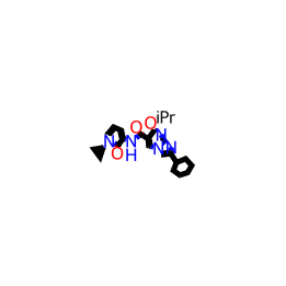 CC(C)Oc1nc2nc(C3CCCCC3)cn2cc1C(=O)Nc1cccn(C2CC2)c1=O